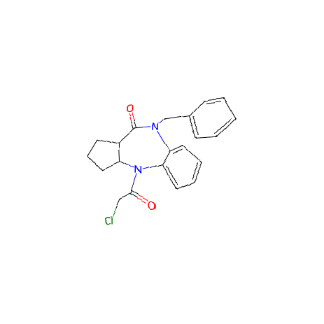 O=C1C2CCCC2N(C(=O)CCl)c2ccccc2N1Cc1ccccc1